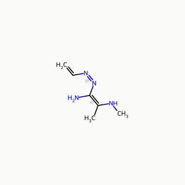 C=C/N=N\C(N)=C(\C)NC